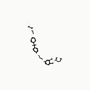 CC(C)(c1ccc(OCCCNc2ccc3c(c2)C(=O)N(C2CCC(=O)NC2=O)C3=O)cc1)c1ccc(OCc2nc(C(N)=O)co2)cc1